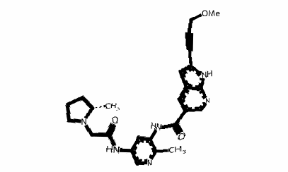 COCC#Cc1cc2cc(C(=O)Nc3cc(NC(=O)CN4CCC[C@@H]4C)cnc3C)cnc2[nH]1